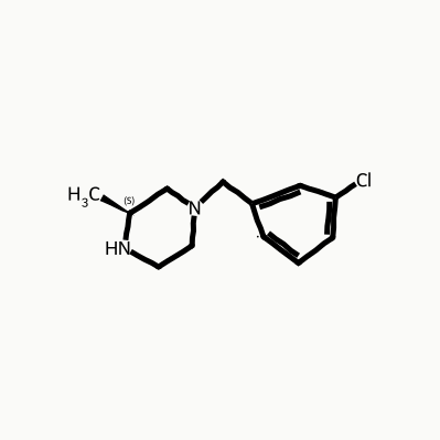 C[C@H]1CN(Cc2[c]ccc(Cl)c2)CCN1